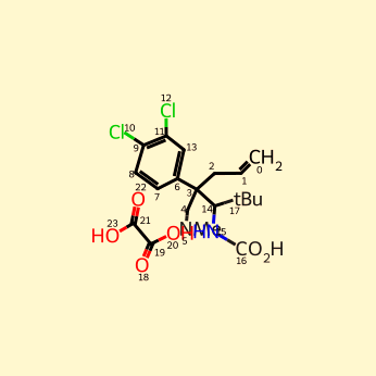 C=CCC(CNC)(c1ccc(Cl)c(Cl)c1)C(NC(=O)O)C(C)(C)C.O=C(O)C(=O)O